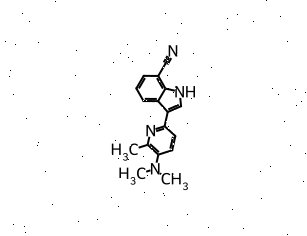 Cc1nc(-c2c[nH]c3c(C#N)cccc23)ccc1N(C)C